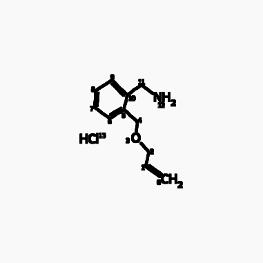 C=CCOCc1ccccc1CN.Cl